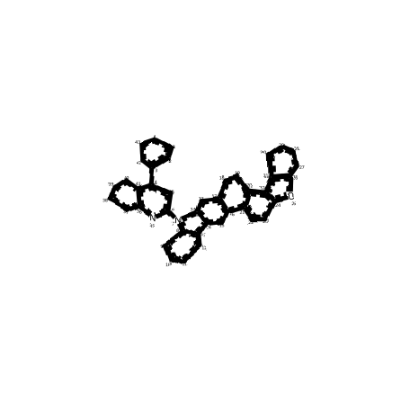 c1ccc(-c2cc(-n3c4ccccc4c4cc5c(ccc6c5ccc5oc7ccccc7c56)cc43)nc3ccccc23)cc1